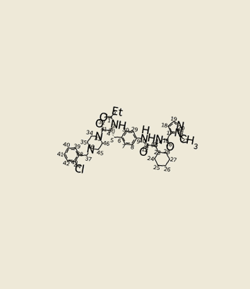 CCC(=O)N[C@H](Cc1ccc(NC(=O)[C@@H](NC(=O)c2ccnn2C)C2CCCCC2)cc1)C(=O)N1CCN(Cc2ccccc2Cl)CC1